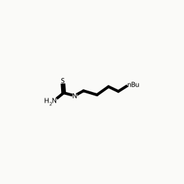 CCCCCCCC[N]C(N)=S